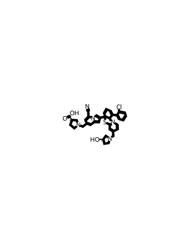 CC1C(c2ccccc2Cl)=CC=CC1(Sc1cc(CN2CC[C@@H](O)C2)ccn1)c1cc2cc(CN3CC[C@@H](C(=O)O)C3)cc(C#N)n2c1